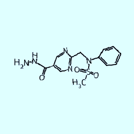 CS(=O)(=O)N(Cc1ncc(C(=O)NN)cn1)c1ccccc1